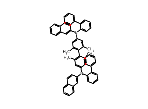 Cc1cc(N(c2ccc3ccccc3c2)c2ccccc2-c2ccccc2)cc(C)c1-c1c(C)cc(N(c2ccc3ccccc3c2)c2ccccc2-c2ccccc2)cc1C